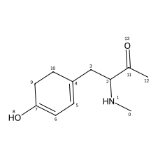 CNC(CC1=CC=C(O)CC1)C(C)=O